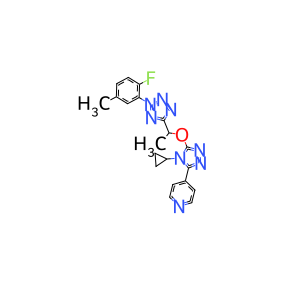 Cc1ccc(F)c(-n2nnc(C(C)Oc3nnc(-c4ccncc4)n3C3CC3)n2)c1